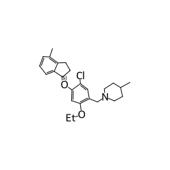 CCOc1cc(O[C@H]2CCc3c(C)cccc32)c(Cl)cc1CN1CCC(C)CC1